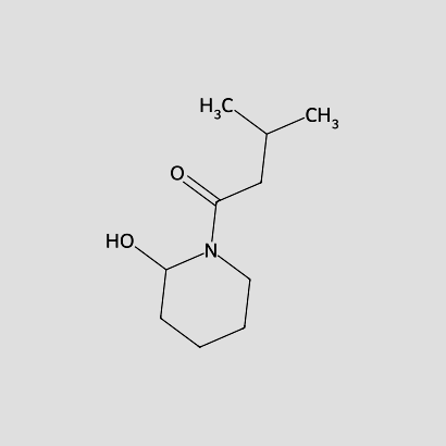 CC(C)CC(=O)N1CCCCC1O